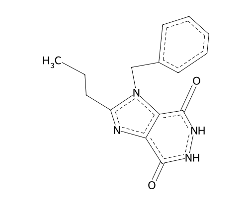 CCCc1nc2c(=O)[nH][nH]c(=O)c2n1Cc1ccccc1